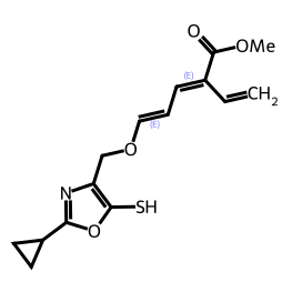 C=C/C(=C\C=C\OCc1nc(C2CC2)oc1S)C(=O)OC